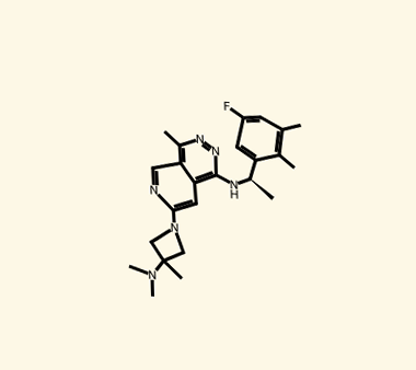 Cc1cc(F)cc([C@@H](C)Nc2nnc(C)c3cnc(N4CC(C)(N(C)C)C4)cc23)c1C